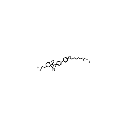 CCCCCCCOc1ccc(-c2ccc(OC(=O)C3(C#N)CCCC(CC)C3)cc2)cc1